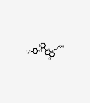 O=c1ccn(CCCO)c2nc(-c3cccnc3Oc3ccc(C(F)(F)F)cc3)ccc12